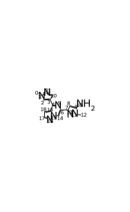 C=[N+]1C=C(c2nc(-c3cc(N)n(C)n3)cn3nccc23)C=N1